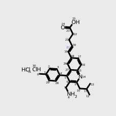 Cc1ccc(-c2c(CN)c(CC(C)C)nc3ccc(/C=C/CCC(=O)O)cc23)cc1.Cl.Cl